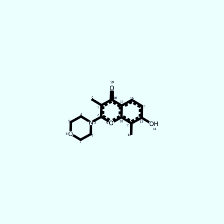 Cc1c(N2CCOCC2)oc2c(C)c(O)ccc2c1=O